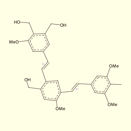 COc1cc(CO)c(/C=C/c2cc(CO)c(CO)c(OC)c2)cc1/C=C/c1cc(OC)c(C)c(OC)c1